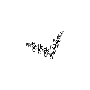 O=[PH]([O-])F.O=[PH]([O-])F.O=[PH]([O-])F.O=[PH]([O-])F.O=[PH]([O-])F.O=[PH]([O-])F.[K+].[K+].[K+].[K+].[K+].[K+]